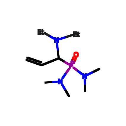 C=CC(N(CC)CC)P(=O)(N(C)C)N(C)C